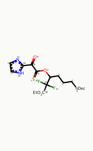 CCCCCCCCCCCCCC(OC(=S)C(=O)c1ncc[nH]1)C(F)(F)C(=O)OCC